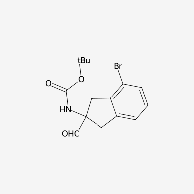 CC(C)(C)OC(=O)NC1(C=O)Cc2cccc(Br)c2C1